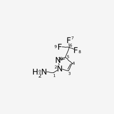 NCn1ccc(C(F)(F)F)n1